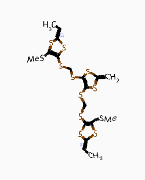 C=C1SC(SCSC2=C(SC)S/C(=C\C)S2)=C(SCSC2=C(SC)S/C(=C\C)S2)S1